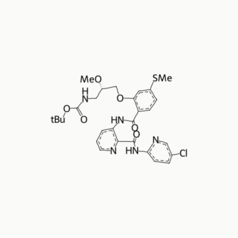 CO[C@@H](CNC(=O)OC(C)(C)C)COc1cc(SC)ccc1C(=O)Nc1cccnc1C(=O)Nc1ccc(Cl)cn1